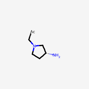 CC(=O)CN1CC[C@@H](N)C1